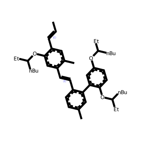 C/C=C/c1cc(C)c(/C=C/c2ccc(C)cc2-c2cc(OC(CC)CCCC)ccc2OC(CC)CCCC)cc1OC(CC)CCCC